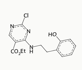 CCOC(=O)c1cnc(Cl)nc1NCCc1ccccc1O